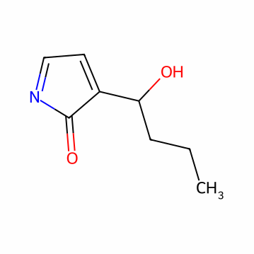 CCCC(O)C1=CC=NC1=O